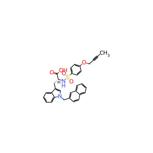 CC#CCOc1ccc(S(=O)(=O)N[C@H](Cc2cn(Cc3ccc4ccccc4c3)c3ccccc23)C(=O)O)cc1